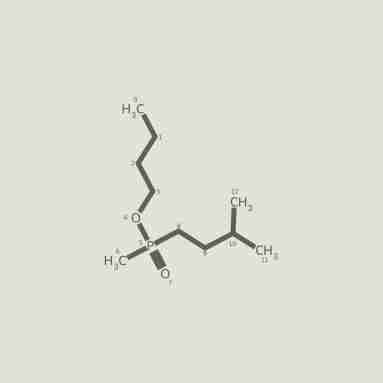 CCCCOP(C)(=O)CCC(C)C